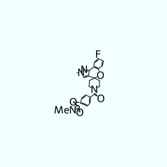 CNS(=O)(=O)c1ccc(C(=O)N2CCC3(CC2)Oc2ccc(F)cc2-c2nn(C)cc23)cc1